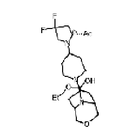 CCOC(O)N1C2COCC1CC(N1CCC(N3CC(F)(F)C[C@@H]3C(C)=O)CC1)C2